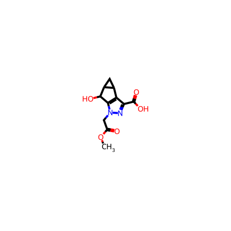 COC(=O)Cn1nc(C(=O)O)c2c1C(O)C1CC21